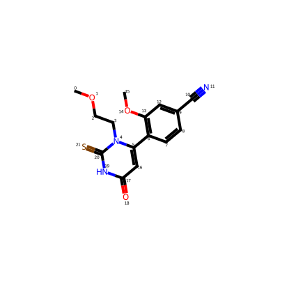 COCCn1c(-c2ccc(C#N)cc2OC)cc(=O)[nH]c1=S